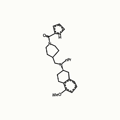 CCCN(CC1CCN(C(=O)c2ccc[nH]2)CC1)[C@@H]1CCc2c(cccc2OC)C1